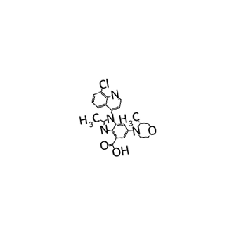 Cc1nc2c(C(=O)O)cc(N3CCOC[C@H]3C)cc2n1-c1ccnc2c(Cl)cccc12